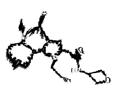 CC(C)Cn1c(C(=O)NC2COC2)cc2c(=O)n(C)c3ccccc3c21